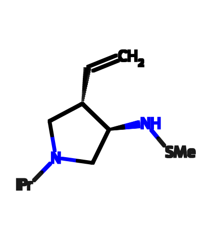 C=C[C@H]1CN(C(C)C)C[C@@H]1NSC